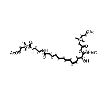 CCCCCC(OC(=O)C[N+](C)(C)CCOC(C)=O)C(O)C/C=C\CCCCCCCC(=O)NCCNC(=O)[N+](C)(C)CCOC(C)=O